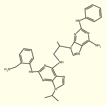 CC(C)n1cnc2c(NCC(C)n3cnc4c(N)nc(Nc5ccccc5)nc43)nc(Nc3ccccc3CN)nc21